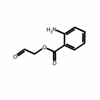 Nc1ccccc1C(=O)OCC=O